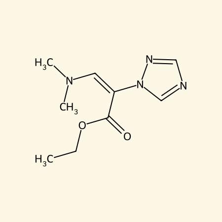 CCOC(=O)C(=CN(C)C)n1cncn1